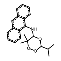 CC(C)C1OOC(C)(C)C(Nc2c3ccccc3cc3ccccc23)O1